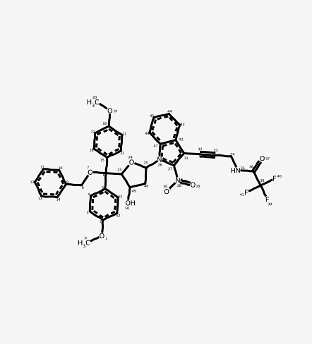 COc1ccc(C(OCc2ccccc2)(c2ccc(OC)cc2)C2OC(n3c([N+](=O)[O-])c(C#CCNC(=O)C(F)(F)F)c4ccccc43)CC2O)cc1